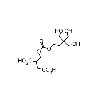 O=C(O)CC(COC(=O)OCCC(CO)(CO)CO)C(=O)O